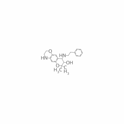 CC1(C)Oc2cc3c(cc2C(NCCc2ccccc2)C1O)OCCN3